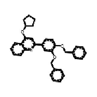 c1ccc(COc2ccc(-c3cc(OC4CCCC4)c4ccccc4n3)cc2OCc2ccccc2)cc1